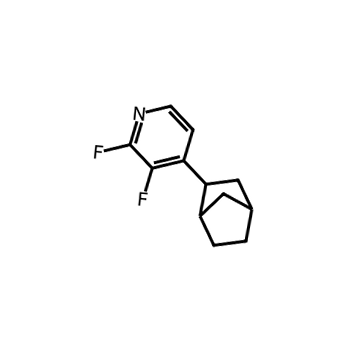 Fc1nccc(C2CC3CCC2C3)c1F